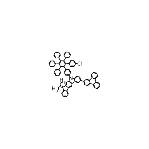 CC1(C)c2ccccc2-c2cc3c4cc(-c5ccc6c7ccccc7c7ccccc7c6c5)ccc4n(-c4ccc(-c5c(-c6ccccc6)c(-c6ccccc6)c(-c6ccccc6)c(-c6ccccc6)c5-c5ccc(Cl)cc5)cc4)c3cc21